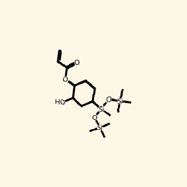 C=CC(=O)OC1CCC([Si](C)(O[Si](C)(C)C)O[Si](C)(C)C)CC1O